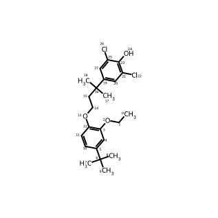 CCOc1cc(C(C)(C)C)ccc1OCCC(C)(C)c1cc(Cl)c(O)c(Cl)c1